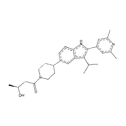 Cc1cc(-c2[nH]c3ccc(C4CCN(C(=O)C[C@H](C)O)CC4)cc3c2C(C)C)cc(C)n1